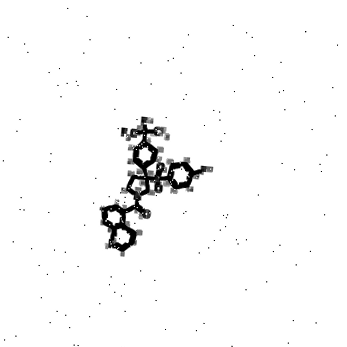 O=C(c1cccc2ncccc12)N1CC[C@](c2ccc(C(F)(C(F)(F)F)C(F)(F)F)cc2)(S(=O)(=O)c2ccc(F)cc2)C1